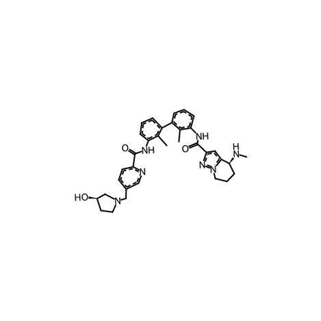 CN[C@H]1CCCn2nc(C(=O)Nc3cccc(-c4cccc(NC(=O)c5ccc(CN6CC[C@@H](O)C6)cn5)c4C)c3C)cc21